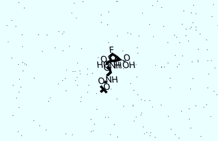 CC(C)(C)OC(=O)NCCC(=O)N[C@@]1(C(=O)O)C[C@@H](F)C2[C@H](C(=O)O)[C@H]21